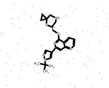 CC(C)(C)n1cc(-c2cc3ncccc3c(OC[C@@H]3CNCC4(CC4)O3)n2)cn1